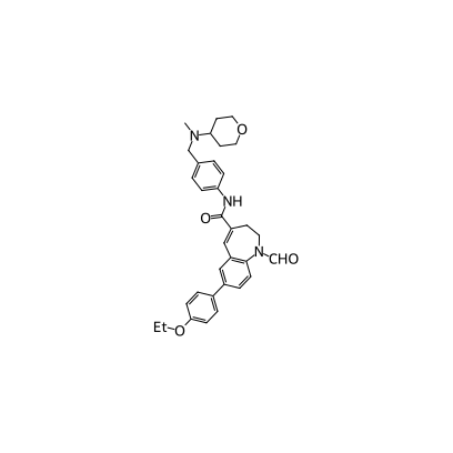 CCOc1ccc(-c2ccc3c(c2)C=C(C(=O)Nc2ccc(CN(C)C4CCOCC4)cc2)CCN3C=O)cc1